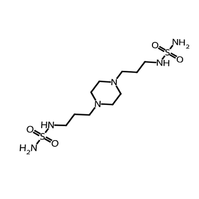 NS(=O)(=O)NCCCN1CCN(CCCNS(N)(=O)=O)CC1